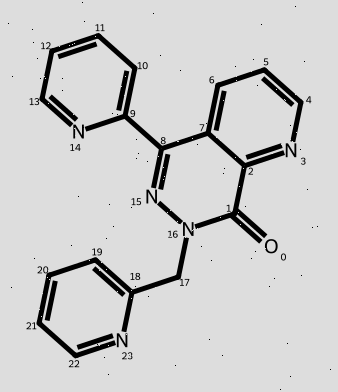 O=c1c2ncccc2c(-c2ccccn2)nn1Cc1ccccn1